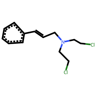 ClCCN(C/C=C/c1ccccc1)CCCl